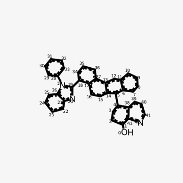 Oc1ccc(-c2c3ccccc3cc3c2ccc2c(-c4nc5ccccc5n4-c4ccccc4)cccc23)c2cccnc12